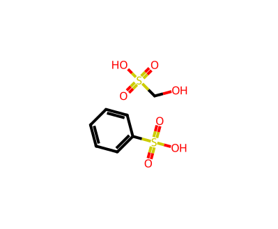 O=S(=O)(O)CO.O=S(=O)(O)c1ccccc1